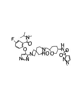 CC(C)N(C)C(=O)c1cc(F)ccc1Oc1cncnc1N1CC2(CCN(C[C@@]3(O)CC[C@@H](NS(=O)(=O)c4ccn(C)n4)CO3)CC2)C1